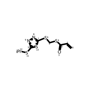 C=CC(=O)SCSc1nnc(SC(C)C)s1